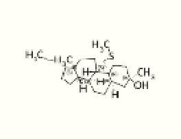 CCC[C@H]1CC[C@H]2[C@@H]3CC[C@@H]4C[C@](C)(O)CC[C@]4(CSC)[C@H]3CC[C@]12C